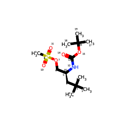 CC(C)(C)C[C@@H](COS(C)(=O)=O)NC(=O)OC(C)(C)C